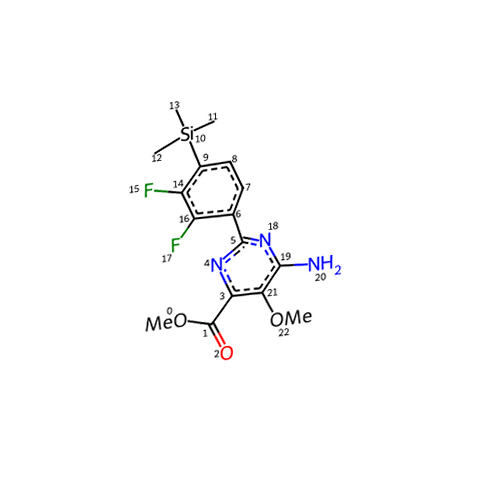 COC(=O)c1nc(-c2ccc([Si](C)(C)C)c(F)c2F)nc(N)c1OC